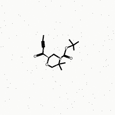 CC#CC(=O)[C@H]1CN(C(=O)OC(C)(C)C)C(C)(C)CO1